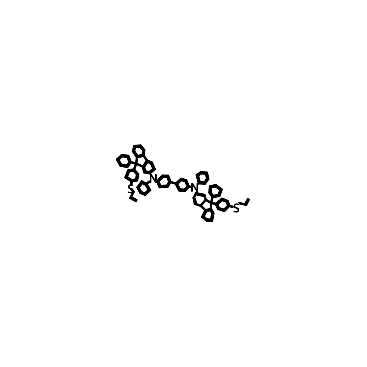 C=CCSc1ccc(C2(c3ccccc3)c3ccccc3-c3ccc(N(c4ccccc4)c4ccc(-c5ccc(N(C6=CC7C(C=C6)c6ccccc6C7(c6ccccc6)c6ccc(SCC=C)cc6)c6ccccc6)cc5)cc4)cc32)cc1